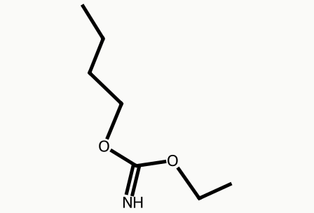 CCCCOC(=N)OCC